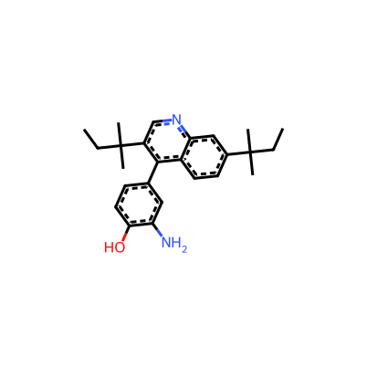 CCC(C)(C)c1ccc2c(-c3ccc(O)c(N)c3)c(C(C)(C)CC)cnc2c1